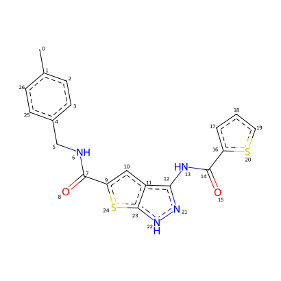 Cc1ccc(CNC(=O)c2cc3c(NC(=O)c4cccs4)n[nH]c3s2)cc1